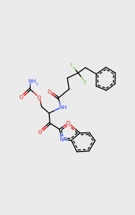 NC(=O)OCC(NC(=O)[CH]CC(F)(F)Cc1ccccc1)C(=O)c1nc2ccccc2o1